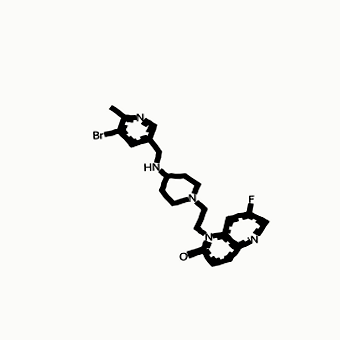 Cc1ncc(CNC2CCN(CCn3c(=O)ccc4ncc(F)cc43)CC2)cc1Br